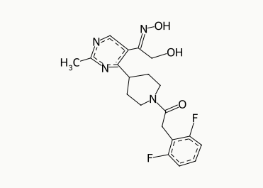 Cc1ncc(/C(CO)=N/O)c(C2CCN(C(=O)Cc3c(F)cccc3F)CC2)n1